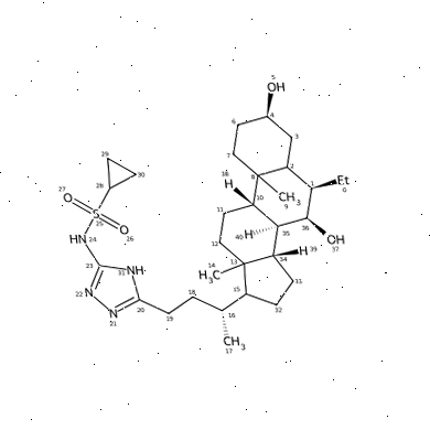 CC[C@@H]1C2C[C@H](O)CCC2(C)[C@H]2CCC3(C)C([C@H](C)CCc4nnc(NS(=O)(=O)C5CC5)[nH]4)CC[C@H]3[C@@H]2[C@@H]1O